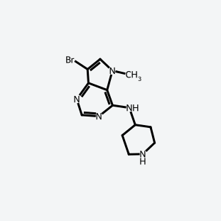 Cn1cc(Br)c2ncnc(NC3CCNCC3)c21